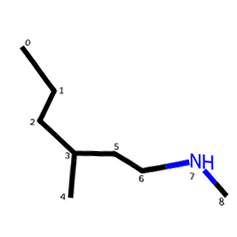 CCCC(C)CCNC